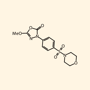 COc1nn(-c2ccc(S(=O)(=O)N3CCOCC3)cc2)c(=O)o1